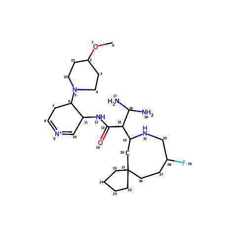 COC1CCN(C2CC=[N+]=CC2NC(=O)C(C(N)N)C2CC3(CCCC3)CCC(F)CN2)CC1